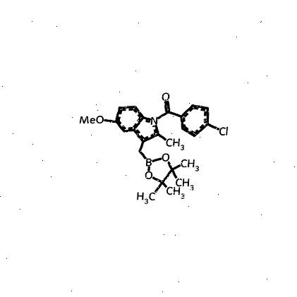 COc1ccc2c(c1)c(CB1OC(C)(C)C(C)(C)O1)c(C)n2C(=O)c1ccc(Cl)cc1